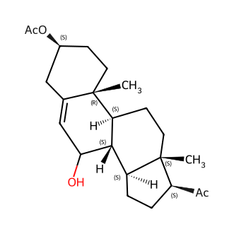 CC(=O)O[C@H]1CC[C@@]2(C)C(=CC(O)[C@H]3[C@@H]4CC[C@H](C(C)=O)[C@@]4(C)CC[C@@H]32)C1